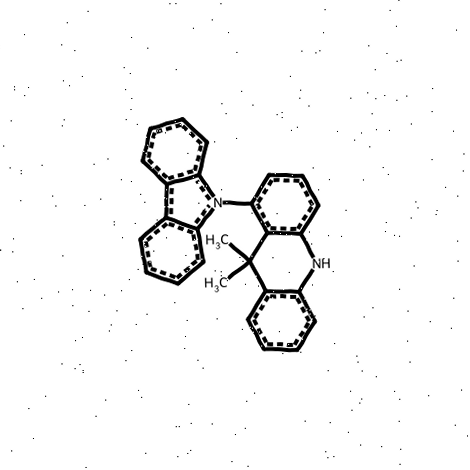 CC1(C)c2ccccc2Nc2cccc(-n3c4ccccc4c4ccccc43)c21